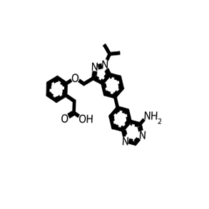 CC(C)n1nc(COc2ccccc2CC(=O)O)c2cc(-c3ccc4ncnc(N)c4c3)ccc21